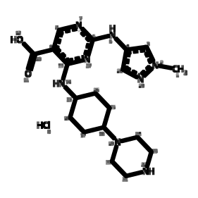 Cl.Cn1cc(Nc2ncc(C(=O)O)c(NC3CCC(N4CCNCC4)CC3)n2)cn1